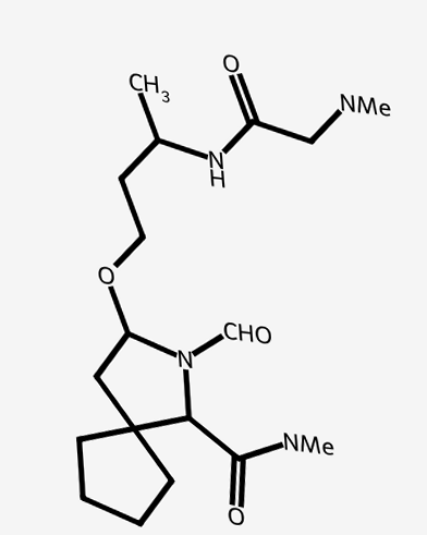 CNCC(=O)NC(C)CCOC1CC2(CCCC2)C(C(=O)NC)N1C=O